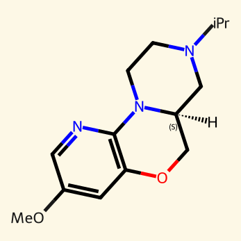 COc1cnc2c(c1)OC[C@@H]1CN(C(C)C)CCN21